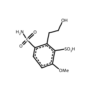 COc1ccc(S(N)(=O)=O)c(CCO)c1S(=O)(=O)O